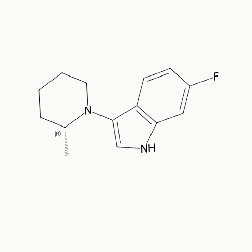 C[C@@H]1CCCCN1c1c[nH]c2cc(F)ccc12